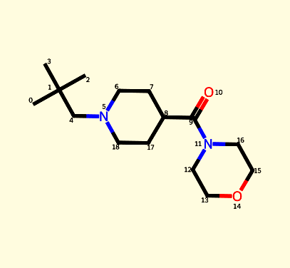 CC(C)(C)CN1CCC(C(=O)N2CCOCC2)CC1